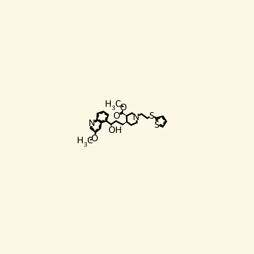 COC(=O)[C@H]1CN(CCSc2cccs2)CC[C@H]1CC[C@H](O)c1cccc2ncc(OC)cc12